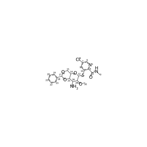 CNC(=O)c1ncc(Cl)cc1SC1OC2COC(c3ccccc3)OC2C(N)C1OC